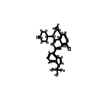 CN(c1nc(-c2ccnc3c2ccn3C(F)(F)F)nc2c(Cl)ncc(C3CC3)c12)C1CCNCC1